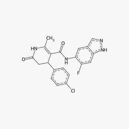 CC1=C(C(=O)Nc2cc3cn[nH]c3cc2F)C(c2ccc(Cl)cc2)CC(=O)N1